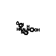 COc1cncc(Nc2nc3cccc(N[C@H]4CC[C@@H](O)CC4)n3n2)c1